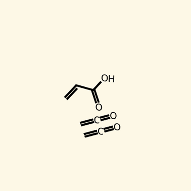 C=C=O.C=C=O.C=CC(=O)O